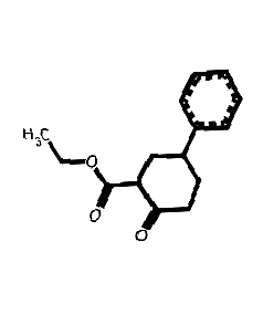 CCOC(=O)C1CC(c2ccccc2)CCC1=O